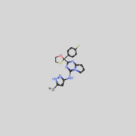 Cc1cc(Nc2nc(C3(c4ccc(F)cc4)OCCS3)nc3cccn23)n[nH]1